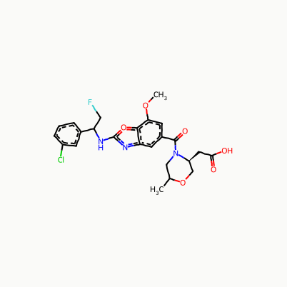 COc1cc(C(=O)N2CC(C)OC[C@@H]2CC(=O)O)cc2nc(NC(CF)c3cccc(Cl)c3)oc12